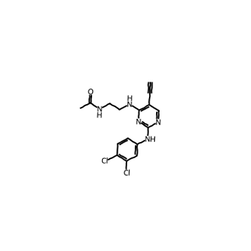 C#Cc1cnc(Nc2ccc(Cl)c(Cl)c2)nc1NCCNC(C)=O